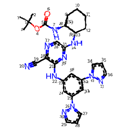 CC(C)(C)OC(=O)N[C@H]1CCCC[C@H]1Nc1cnc(C#N)c(Nc2cc(-n3cccn3)cc(-n3cccn3)c2)n1